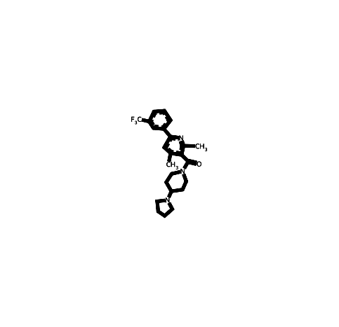 Cc1cc(-c2cccc(C(F)(F)F)c2)nc(C)c1C(=O)N1CCC(N2CCCC2)CC1